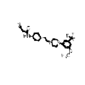 COc1cc(N2CCN(CC[C@H]3CC[C@H](NC(=O)CC#N)CC3)CC2)cc(C(F)(F)F)c1